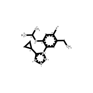 CCc1cc(-n2nnnc2C2CC2)c(OC(C)C)cc1F